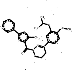 COc1ccc(C2=NN(C(=O)c3sc(-c4cccnc4)nc3C)CCC2)cc1OC(C)C